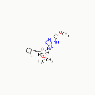 COC1CCC(Nc2ncnc3c2ncn3[C@@H]2O[C@H](C#Cc3ccccc3F)[C@H]3OC(C)(C)O[C@@H]32)C1